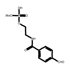 COP(=O)(O)OCCNC(=O)c1ccc(C=O)cc1